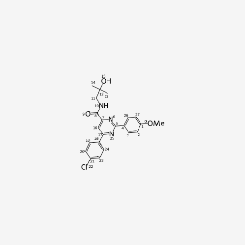 COc1ccc(-c2nc(C(=O)NCC(C)(C)O)cc(-c3ccc(Cl)cc3)n2)cc1